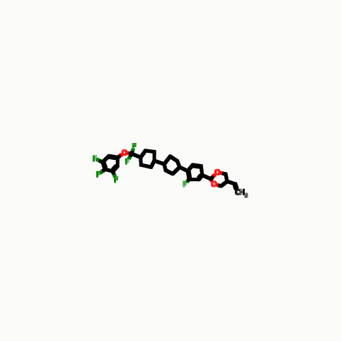 C=CC1COC(c2ccc(C3CCC(C4CCC(C(F)(F)Oc5cc(F)c(F)c(F)c5)CC4)CC3)c(F)c2)OC1